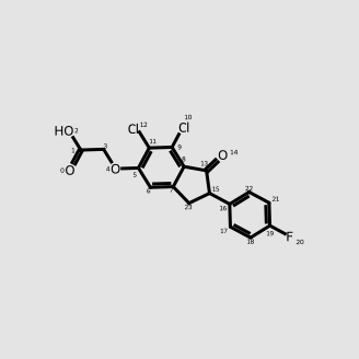 O=C(O)COc1cc2c(c(Cl)c1Cl)C(=O)C(c1ccc(F)cc1)C2